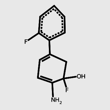 NC1=CC=C(c2ccccc2F)CC1(O)F